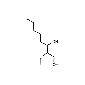 CCCCCC(O)C(CO)OC